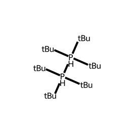 CC(C)(C)[PH](C(C)(C)C)(C(C)(C)C)[PH](C(C)(C)C)(C(C)(C)C)C(C)(C)C